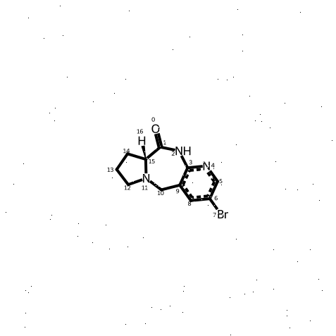 O=C1Nc2ncc(Br)cc2CN2CCC[C@H]12